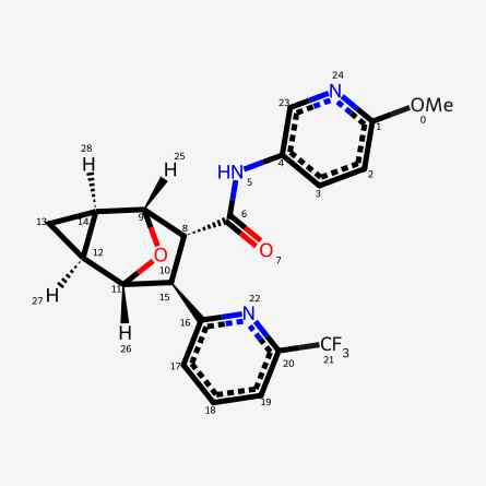 COc1ccc(NC(=O)[C@H]2[C@@H]3O[C@@H]([C@H]4C[C@H]43)[C@@H]2c2cccc(C(F)(F)F)n2)cn1